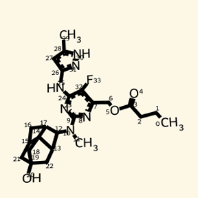 CCCC(=O)OCc1nc(N(C)C2C3CC4CC2CC(O)(C4)C3)nc(Nc2cc(C)[nH]n2)c1F